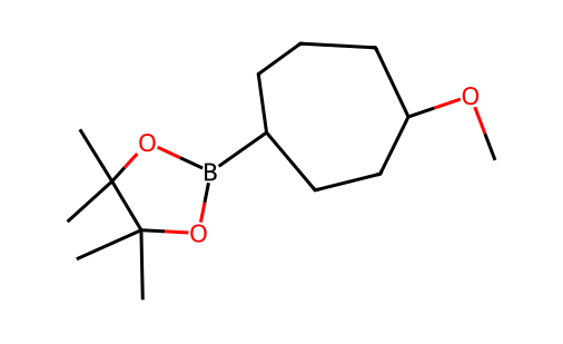 COC1CCCC(B2OC(C)(C)C(C)(C)O2)CC1